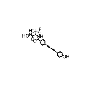 COC(C)(C(F)F)C(NC(=O)c1ccc(C#CC#Cc2ccc(O)cc2)cc1)C(=O)NO